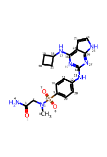 CN(CC(N)=O)S(=O)(=O)c1ccc(Nc2nc(NC3CCC3)c3cc[nH]c3n2)cc1